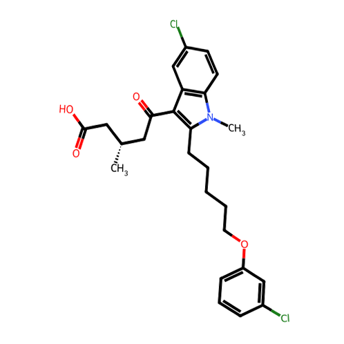 C[C@H](CC(=O)O)CC(=O)c1c(CCCCCOc2cccc(Cl)c2)n(C)c2ccc(Cl)cc12